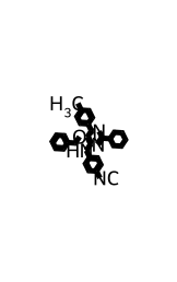 [C-]#[N+]c1ccc(Nc2nc(C3CCCCC3)nc(-c3ccc(C)cc3)c2OCc2ccccc2)cc1